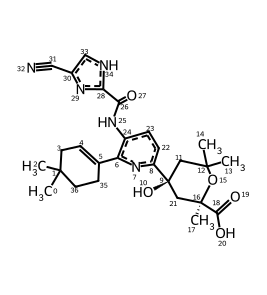 CC1(C)CC=C(c2nc([C@]3(O)CC(C)(C)O[C@@](C)(C(=O)O)C3)ccc2NC(=O)c2nc(C#N)c[nH]2)CC1